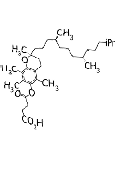 Cc1c(C)c2c(c(C)c1OC(=O)CCC(=O)O)CC[C@](C)(CCC[C@@H](C)CCC[C@@H](C)CCCC(C)C)O2